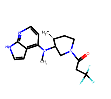 C[C@@H]1CCN(C(=O)CC(F)(F)F)CC1N(C)c1ccnc2[nH]ccc12